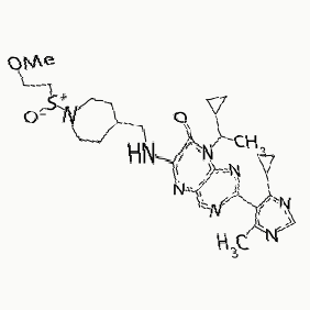 COCC[S+]([O-])N1CCC(CNc2nc3cnc(-c4c(C)ncnc4C4CC4)nc3n(C(C)C3CC3)c2=O)CC1